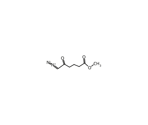 COC(=O)CCCC(=O)C=[N+]=[N-]